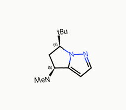 CN[C@H]1C[C@@H](C(C)(C)C)n2nccc21